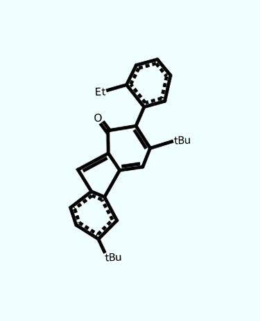 CCc1ccccc1C1=C(C(C)(C)C)C=C2C(=Cc3ccc(C(C)(C)C)cc32)C1=O